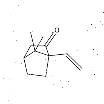 C=CC12CCC(CC1=O)C2(C)C